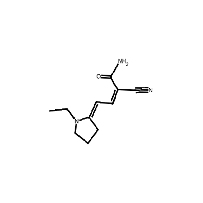 CCN1CCCC1=CC=C(C#N)C(N)=O